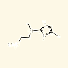 COCCN(C)c1nc(C)cs1